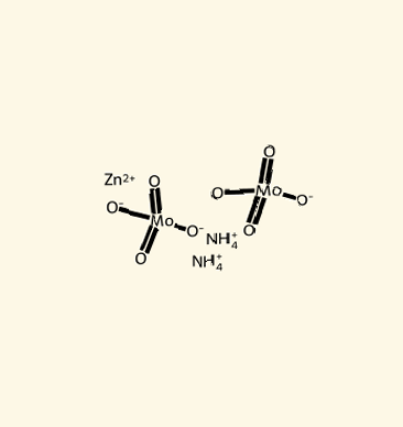 [NH4+].[NH4+].[O]=[Mo](=[O])([O-])[O-].[O]=[Mo](=[O])([O-])[O-].[Zn+2]